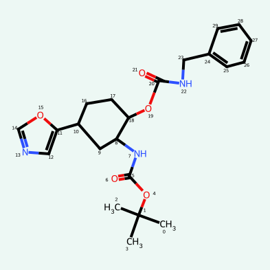 CC(C)(C)OC(=O)NC1CC(c2cnco2)CCC1OC(=O)NCc1ccccc1